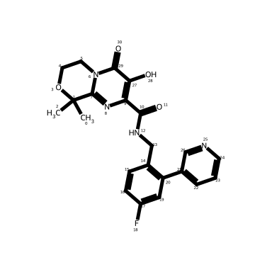 CC1(C)OCCn2c1nc(C(=O)NCc1ccc(F)cc1-c1cccnc1)c(O)c2=O